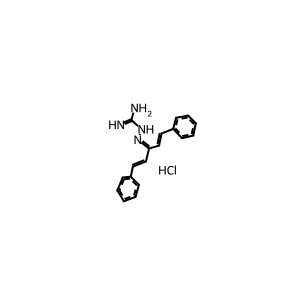 Cl.N=C(N)NN=C(C=Cc1ccccc1)C=Cc1ccccc1